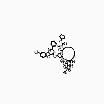 O=C(N[C@H]1CCCCC/C=C\[C@@H]2C[C@@]2(C(=O)NS(=O)(=O)C2CC2)NC(=O)[C@@H]2C[C@@H](Oc3nc(-c4ccccc4)nc4c3oc3ccc(Cl)cc34)CN2C1=O)OC1CCCC1